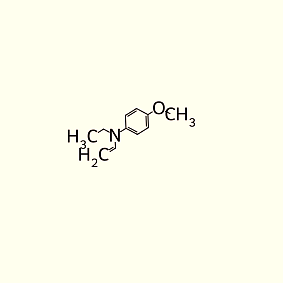 C=CN(CC)c1ccc(OC)cc1